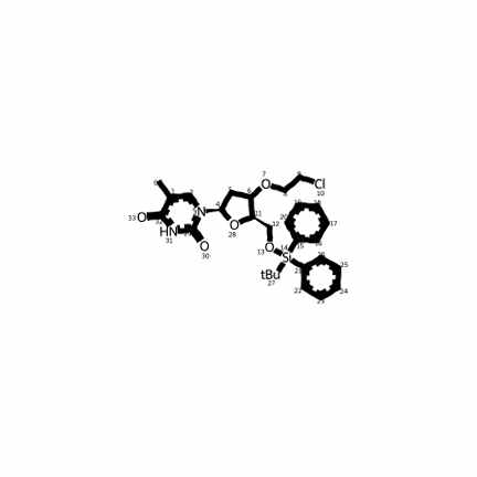 Cc1cn([C@H]2CC(OCCCl)[C@@H](CO[Si](c3ccccc3)(c3ccccc3)C(C)(C)C)O2)c(=O)[nH]c1=O